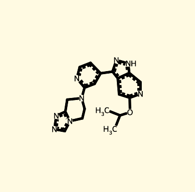 CC(C)Oc1cc2c(-c3ccnc(N4CCn5cnnc5C4)c3)n[nH]c2cn1